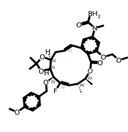 BC(=O)N(C)c1cc2c(c(OCOC)c1)C(=O)O[C@@H](C)[C@H](C)/C=C(/F)[C@@H](OCc1ccc(OC)cc1)[C@H]1OC(C)(C)O[C@H]1C/C=C/2